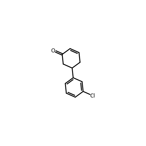 O=C1C=CCC(c2cccc(Cl)c2)C1